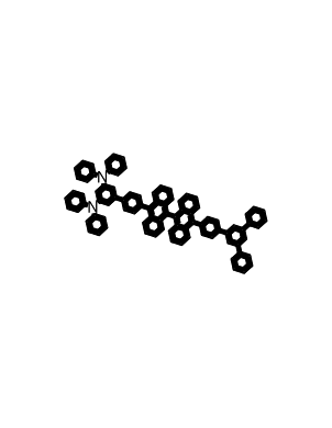 c1ccc(-c2cc(-c3ccccc3)cc(-c3ccc(-c4c5ccccc5c(-c5c6ccccc6c(-c6ccc(-c7cc(N(c8ccccc8)c8ccccc8)cc(N(c8ccccc8)c8ccccc8)c7)cc6)c6ccccc56)c5ccccc45)cc3)c2)cc1